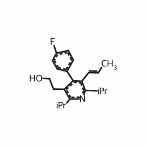 C/C=C/c1c(C(C)C)nc(C(C)C)c(CCO)c1-c1ccc(F)cc1